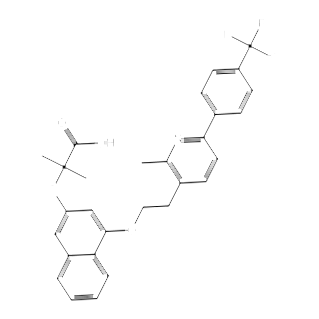 Cc1nc(-c2ccc(C(F)(F)F)cc2)ccc1CCOc1cc(OC(C)(C)C(=O)O)cc2ccccc12